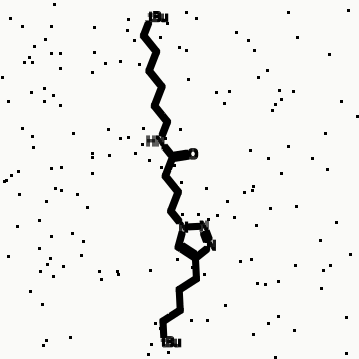 CC(C)(C)CCCCCCNC(=O)CCCn1cc(CCCCC(C)(C)C)nn1